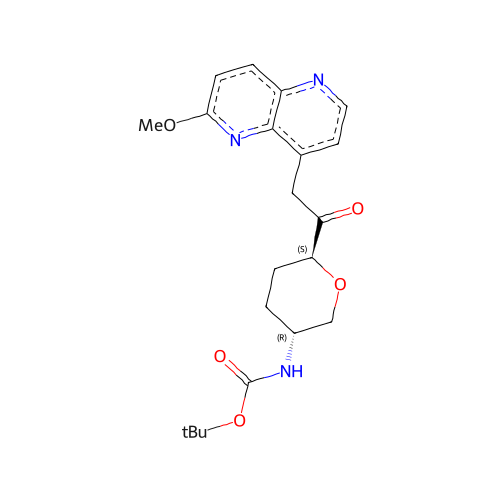 COc1ccc2nccc(CC(=O)[C@@H]3CC[C@@H](NC(=O)OC(C)(C)C)CO3)c2n1